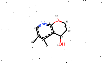 Cc1cnc2c(c1C)C(O)CCO2